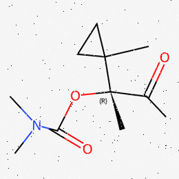 CC(=O)[C@](C)(OC(=O)N(C)C)C1(C)CC1